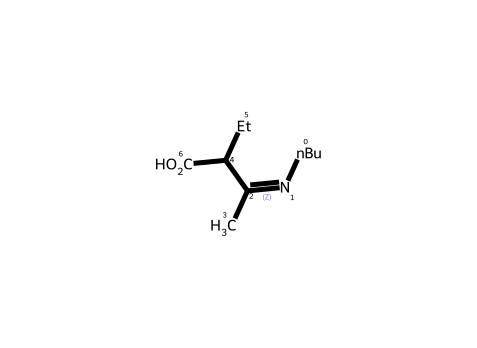 CCCC/N=C(/C)C(CC)C(=O)O